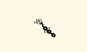 CCc1cc(CCC(CO)CO)ccc1-c1ccc(-c2ccccc2)cc1F